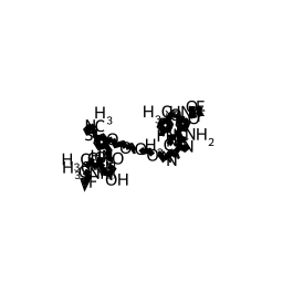 Cc1ncsc1-c1ccc(CNC(=O)[C@@H]2C[C@@H](O)CN2C(=O)[C@@H](NC(=O)C2(F)CC2)C(C)(C)C)c(OCCOCCOCCOCCn2cc(-c3cnc(N)c4c(-c5ccc(NS(=O)(=O)C(F)F)c(O[C@@H](C)c6ccc(F)cc6)c5)nn(C)c34)cn2)c1